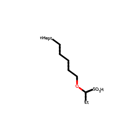 CCCCCCCCCCCCOC(CC)S(=O)(=O)O